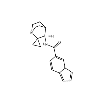 O=C(N[C@@H]1C2CCN(CC2)C12CC2)c1ccc2cccn2c1